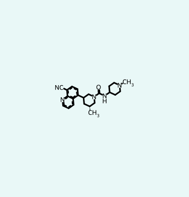 C[C@@H]1CC(c2ccc(C#N)c3ncccc23)CN(C(=O)NC2CCN(C)CC2)C1